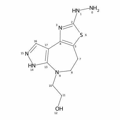 NNc1nc2c(s1)CCN(CCO)c1[nH]ncc1-2